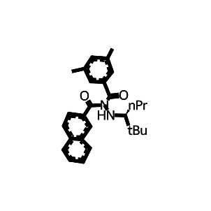 CCC[C@@H](NN(C(=O)c1cc(C)cc(C)c1)C(=O)c1ccc2ccccc2c1)C(C)(C)C